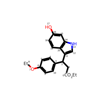 CCOC(=O)CC(c1ccc(OCC)cc1)c1c[nH]c2cc(O)ccc12